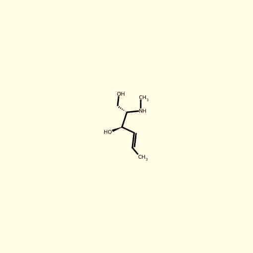 C/C=C/[C@@H](O)[C@H](CO)NC